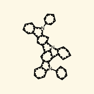 c1ccc(-n2c3ccccc3c3cc4c5cc6c7ccccc7n(-c7ccccc7)c6c6c7ccccc7n(c4cc32)c56)cc1